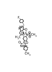 CNC(=O)c1c(-c2ccc(C)cc2)oc2cc(N(C)S(C)(=O)=O)c(-c3cc4c(=O)n(Cc5ccc(F)cc5)nnc4cc3C)cc12